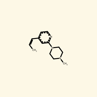 C/C=C\c1ccnc(N2CCN(C)CC2)c1